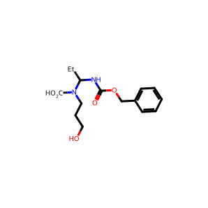 CCC(NC(=O)OCc1ccccc1)N(CCCO)C(=O)O